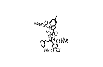 COC(=O)Cn1c(C(=O)Nc2nc(-c3cc(OC)c(Cl)cc3OC)c(CCC3CCCCC3)s2)cc2cc(C)ccc21